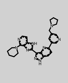 c1cc2[nH]c(-c3n[nH]c4ccc(-c5cncc(CN6CCCC6)c5)nc34)nc2c(N2CCCCC2)n1